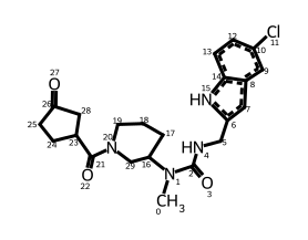 CN(C(=O)NCc1cc2cc(Cl)ccc2[nH]1)C1CCCN(C(=O)C2CCC(=O)C2)C1